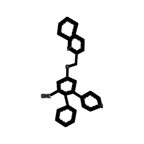 O=Cc1cc(OCc2ccc3ccccc3n2)cc(-c2ccncc2)c1-c1ccccc1